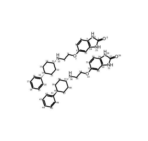 O=c1[nH]c2ccc(OCCN[C@H]3CC[C@@H](c4ccccc4)CC3)cc2[nH]1.O=c1[nH]c2ccc(OCCN[C@H]3CC[C@H](c4ccccc4)CC3)cc2[nH]1